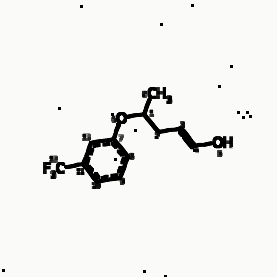 CC(C/C=C/O)Oc1cccc(C(F)(F)F)c1